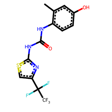 Cc1cc(O)ccc1NC(=O)Nc1nc(C(F)(F)C(F)(F)F)cs1